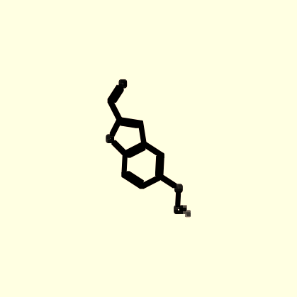 COc1ccc2oc(C=O)cc2c1